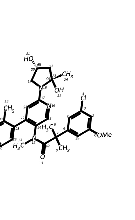 COc1cc(Cl)cc(C(C)(C)C(=O)N(C)c2cnc(N3C[C@H](O)C[C@]3(C)O)cc2-c2ccccc2C)c1